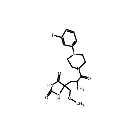 COCC1(CC(C)C(=O)N2CCN(c3cccc(F)c3)CC2)NC(=O)NC1=O